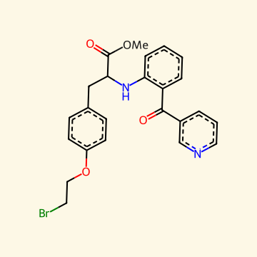 COC(=O)C(Cc1ccc(OCCBr)cc1)Nc1ccccc1C(=O)c1cccnc1